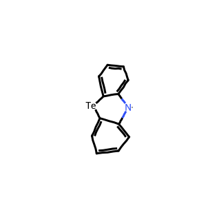 c1ccc2c(c1)[N]c1ccccc1[Te]2